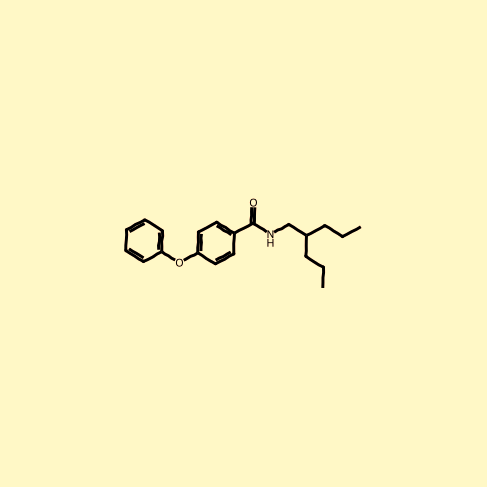 CCCC(CCC)CNC(=O)c1ccc(Oc2ccccc2)cc1